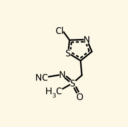 CS(=O)(Cc1cnc(Cl)s1)=NC#N